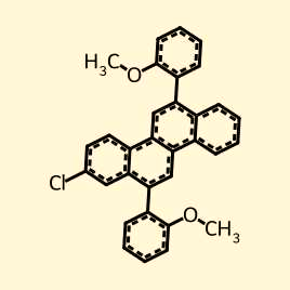 COc1ccccc1-c1cc2c3ccc(Cl)cc3c(-c3ccccc3OC)cc2c2ccccc12